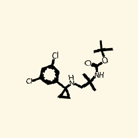 CC(C)(CNC1(c2cc(Cl)cc(Cl)c2)CC1)NC(=O)OC(C)(C)C